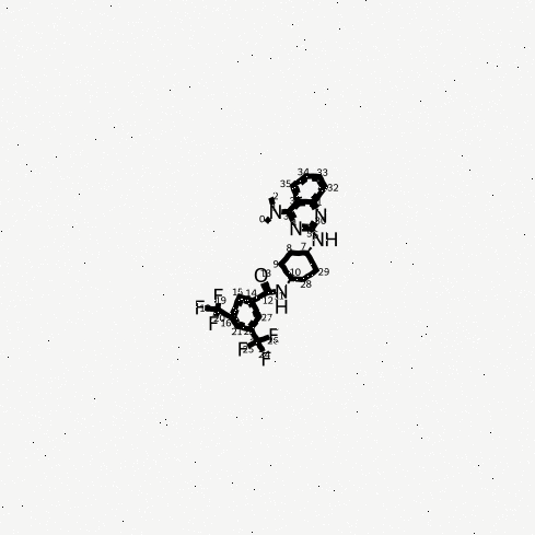 CN(C)c1nc(N[C@H]2CC[C@@H](NC(=O)c3cc(C(F)(F)F)cc(C(F)(F)F)c3)CC2)nc2ccccc12